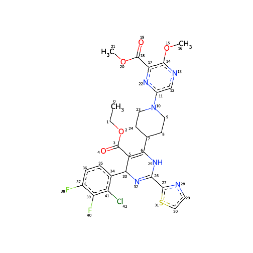 CCOC(=O)C1=C(C2CCN(c3cnc(OC)c(C(=O)OC)n3)CC2)NC(c2nccs2)=NC1c1ccc(F)c(F)c1Cl